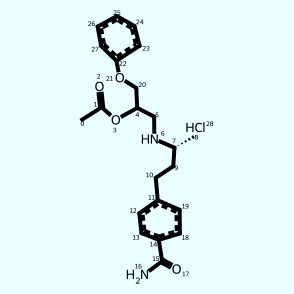 CC(=O)OC(CN[C@H](C)CCc1ccc(C(N)=O)cc1)COc1ccccc1.Cl